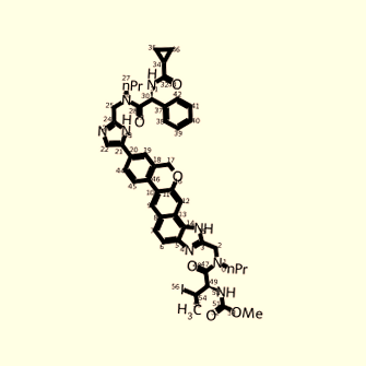 CCCN(Cc1nc2ccc3cc4c(cc3c2[nH]1)OCc1cc(-c2cnc(CN(CCC)C(=O)[C@H](NC(=O)C3CC3)c3ccccc3)[nH]2)ccc1-4)C(=O)[C@@H](NC(=O)OC)C(C)I